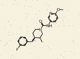 COc1ccc(NC(=O)N2CC/C(=C\c3cccc(F)c3)C(C)C2)cn1